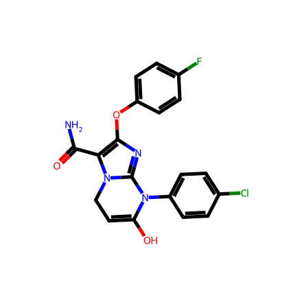 NC(=O)c1c(Oc2ccc(F)cc2)nc2n1CC=C(O)N2c1ccc(Cl)cc1